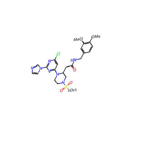 CCCCCCCCS(=O)(=O)N1CCN(c2cc(Cl)nc(-n3ccnc3)n2)C(CC(=O)NCc2ccc(OC)c(OC)c2)C1